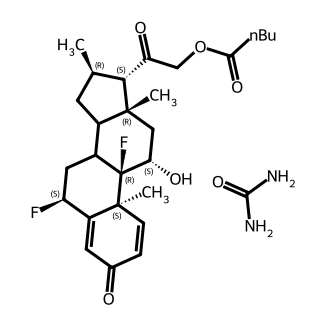 CCCCC(=O)OCC(=O)[C@H]1[C@H](C)CC2C3C[C@H](F)C4=CC(=O)C=C[C@]4(C)[C@@]3(F)[C@@H](O)C[C@]21C.NC(N)=O